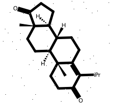 CC(C)C1=C2CC[C@@H]3[C@H](CC[C@]4(C)C(=O)CC[C@@H]34)[C@@]2(C)CCC1=O